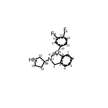 CC(C)N(Cc1ccccc1Oc1ccc(F)c(F)c1)[C@H]1CCNC1